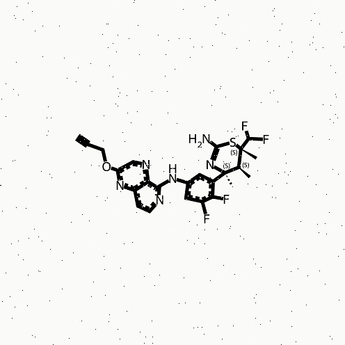 C#CCOc1cnc2c(Nc3cc(F)c(F)c([C@@]4(C)N=C(N)S[C@](C)(C(F)F)[C@H]4C)c3)nccc2n1